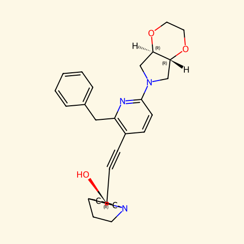 O[C@]1(C#Cc2ccc(N3C[C@H]4OCCO[C@@H]4C3)nc2Cc2ccccc2)CN2CCC1CC2